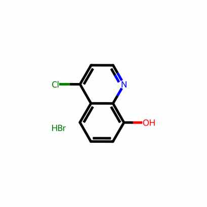 Br.Oc1cccc2c(Cl)ccnc12